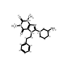 Cn1c(=O)c2c(nc(N3CCCC(N)C3)n2CCc2ccccc2)n(C)c1=O